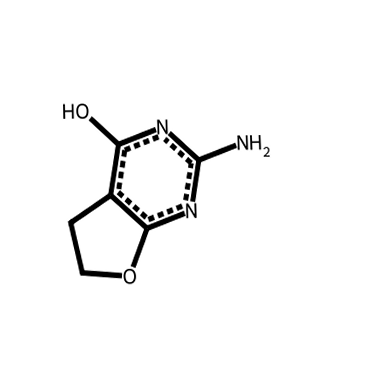 Nc1nc(O)c2c(n1)OCC2